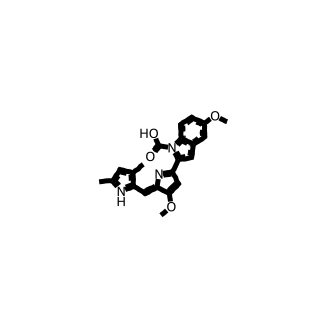 COC1=CC(c2cc3cc(OC)ccc3n2C(=O)O)=NC1=Cc1[nH]c(C)cc1C